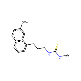 CCCNC(=S)NCCCc1cccc2ccc(OC)cc12